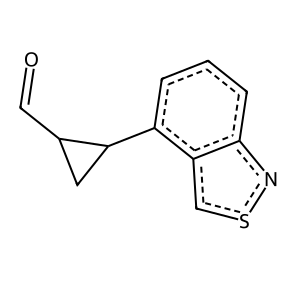 O=CC1CC1c1cccc2nscc12